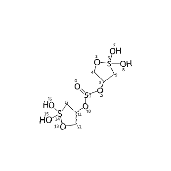 O=S(OC1COS(O)(O)C1)OC1COS(O)(O)C1